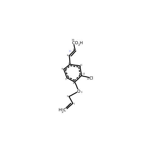 C=CCOc1ccc(/C=C/C(=O)O)cc1Cl